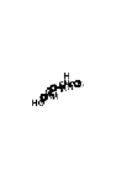 Cc1ccc(-c2sc(NC(=O)CC3CCOCC3)nc2C)cc1S(=O)(=O)Nc1cccc(O)c1